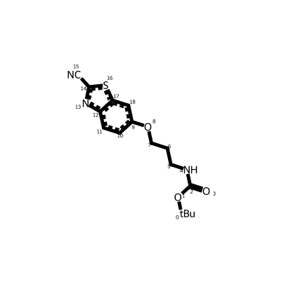 CC(C)(C)OC(=O)NCCCOc1ccc2nc(C#N)sc2c1